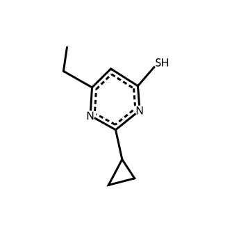 CCc1cc(S)nc(C2CC2)n1